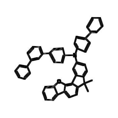 CC1(C)c2ccc(N(c3ccc(-c4ccccc4)cc3)c3ccc(-c4cccc(-c5ccccc5)c4)cc3)cc2-c2c1ccc1c2oc2ccccc21